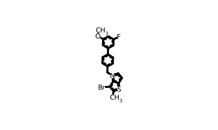 COc1cc(F)cc(-c2ccc(Cn3ccc4sc(C)c(Br)c43)cc2)c1